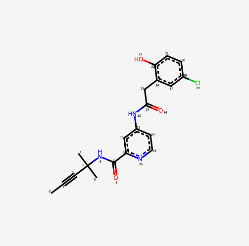 CC#CC(C)(C)NC(=O)c1cc(NC(=O)Cc2cc(Cl)ccc2O)ccn1